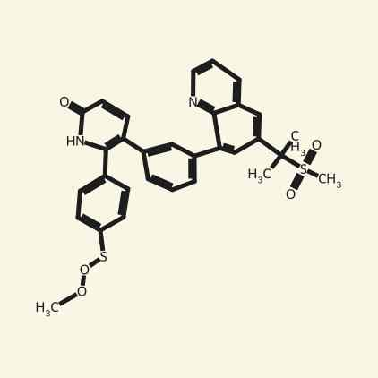 COOSc1ccc(-c2[nH]c(=O)ccc2-c2cccc(-c3cc(C(C)(C)S(C)(=O)=O)cc4cccnc34)c2)cc1